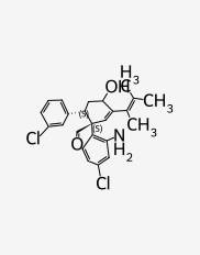 CC(C)=C(C)C1=C[C@](C=O)(c2ccc(Cl)cc2N)[C@H](c2cccc(Cl)c2)CC1O